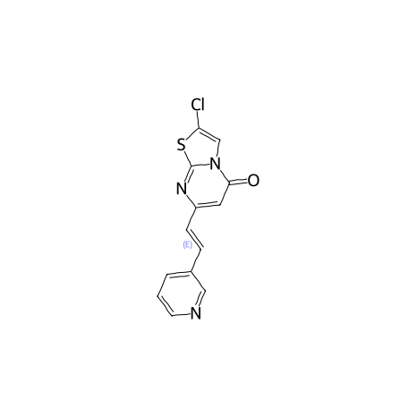 O=c1cc(/C=C/c2cccnc2)nc2sc(Cl)cn12